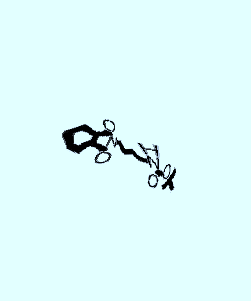 CC(C)(C)OC(=O)NC/C=C/CN1C(=O)c2ccccc2C1=O